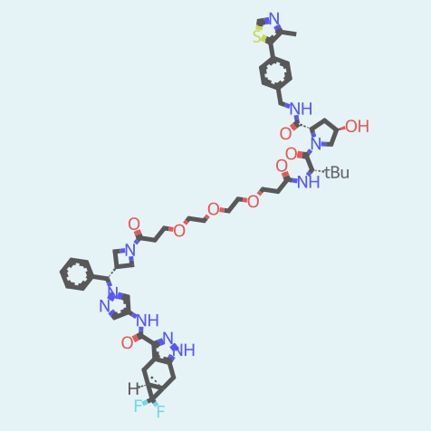 Cc1ncsc1-c1ccc(CNC(=O)[C@@H]2C[C@@H](O)CN2C(=O)[C@@H](NC(=O)CCOCCOCCOCCC(=O)N2CC([C@@H](c3ccccc3)n3cc(NC(=O)c4n[nH]c5c4C[C@@H]4C(F)(F)[C@]4(C)C5)cn3)C2)C(C)(C)C)cc1